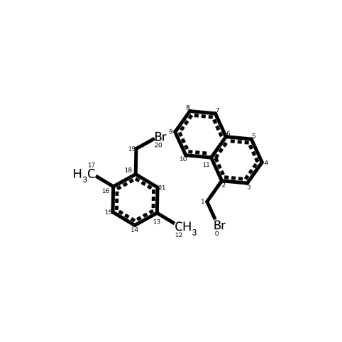 BrCc1cccc2ccccc12.Cc1ccc(C)c(CBr)c1